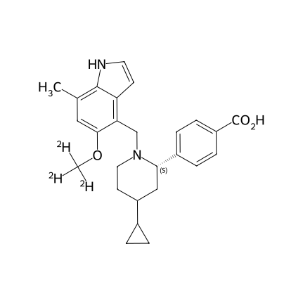 [2H]C([2H])([2H])Oc1cc(C)c2[nH]ccc2c1CN1CCC(C2CC2)C[C@H]1c1ccc(C(=O)O)cc1